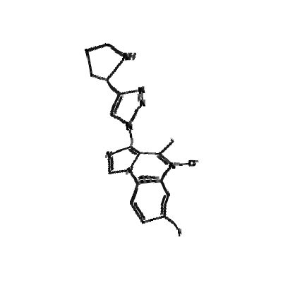 Cc1c2c(-n3cc(C4CCCN4)nn3)ncn2c2ccc(F)cc2[n+]1[O-]